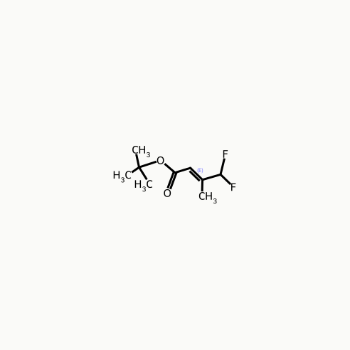 C/C(=C\C(=O)OC(C)(C)C)C(F)F